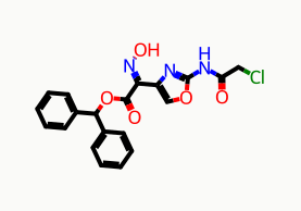 O=C(CCl)Nc1nc(C(=NO)C(=O)OC(c2ccccc2)c2ccccc2)co1